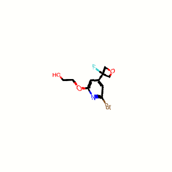 OCCOc1cc(C2(F)COC2)cc(Br)n1